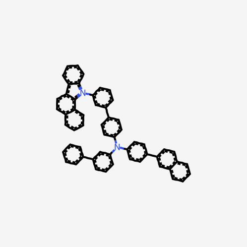 c1ccc(-c2cccc(N(c3ccc(-c4cccc(-n5c6ccccc6c6ccc7ccccc7c65)c4)cc3)c3ccc(-c4ccc5ccccc5c4)cc3)c2)cc1